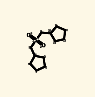 O=S(=O)(CC1CCCC1)CC1CCCC1